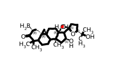 B[C@@H]1C[C@]23C[C@]24CC[C@]2(C)C([C@]5(C)CC[C@H](C(C)(C)O)O5)[C@@H](O)C[C@@]2(C)C4CCC3C(C)(C)C1=O